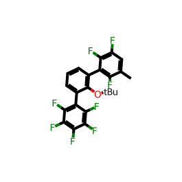 Cc1cc(F)c(F)c(-c2cccc(-c3c(F)c(F)c(F)c(F)c3F)c2OC(C)(C)C)c1F